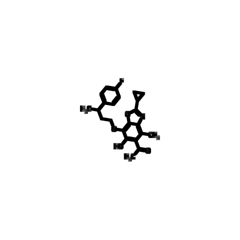 CC(=O)c1c(O)c(OCCC(C)c2ccc(F)cc2)c2oc(C3CC3)nc2c1C